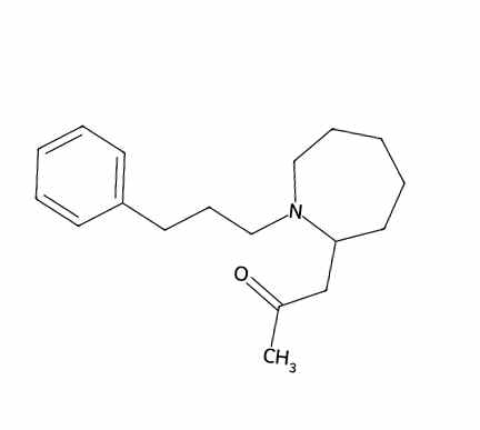 CC(=O)CC1CCCCCN1CCCc1ccccc1